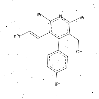 CCC/C=C/c1c(C(C)C)nc(C(C)C)c(CO)c1-c1ccc(C(C)C)cc1